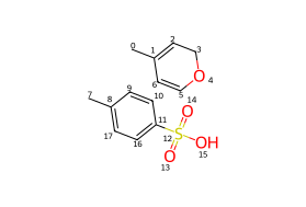 CC1=CCOC=C1.Cc1ccc(S(=O)(=O)O)cc1